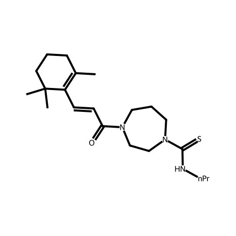 CCCNC(=S)N1CCCN(C(=O)C=CC2=C(C)CCCC2(C)C)CC1